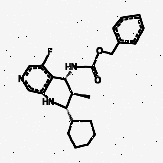 C[C@@H]1[C@@H](NC(=O)OCc2ccccc2)c2c(F)cncc2N[C@H]1C1CCCCC1